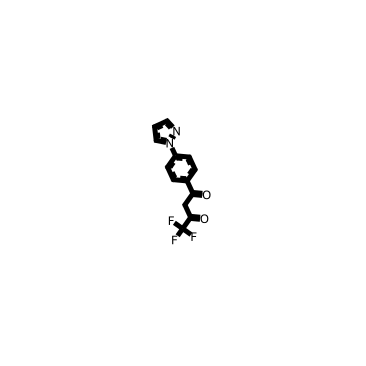 O=C(CC(=O)C(F)(F)F)c1ccc(-n2cccn2)cc1